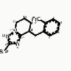 FC(F)(F)c1ccccc1CC1CCCn2nc(Br)nc21